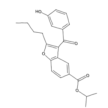 CCCCc1oc2ccc(C(=O)OC(C)C)cc2c1C(=O)c1cccc(O)c1